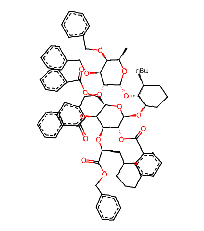 CCCC[C@H]1CCC[C@@H](O[C@@H]2O[C@H](COC(=O)c3ccccc3)[C@H](OC(=O)c3ccccc3)[C@H](O[C@@H](CC3CCCCC3)C(=O)OCc3ccccc3)[C@H]2OC(=O)c2ccccc2)[C@@H]1O[C@H]1O[C@H](C)[C@H](OCc2ccccc2)[C@H](OCc2ccccc2)[C@H]1OCc1ccccc1